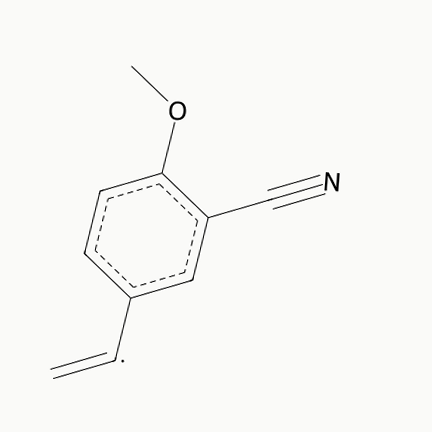 C=[C]c1ccc(OC)c(C#N)c1